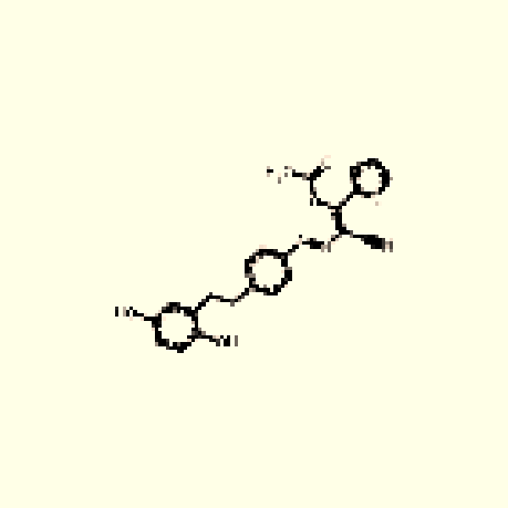 CC(=O)OC(=C(C#N)N=Nc1ccc(CCc2cc(O)ccc2O)cc1)c1ccco1